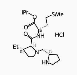 CC[C@H]1CCN(C[C@@H]2CCCN2)[C@@H]1C(=O)N[C@@H](CCSC)C(=O)OC(C)C.Cl